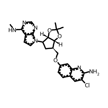 CNc1ncnc2c1ccn2C1C[C@H](COc2ccc3cc(Cl)c(N)nc3c2)[C@H]2OC(C)(C)O[C@@H]12